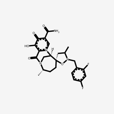 CC1C[C@@]2(CC[C@H](C)N3C[C@H]2n2cc(C(N)=O)c(=O)c(O)c2C3=O)ON1Cc1ccc(F)cc1F